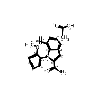 CC(=O)O.COc1ccccc1-n1c(C(N)=O)cc2cccc(N)c21